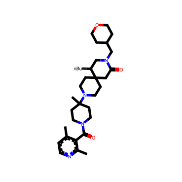 CCCCC1CN(CC2CCOCC2)C(=O)CC12CCN(C1(C)CCN(C(=O)c3c(C)ccnc3C)CC1)CC2